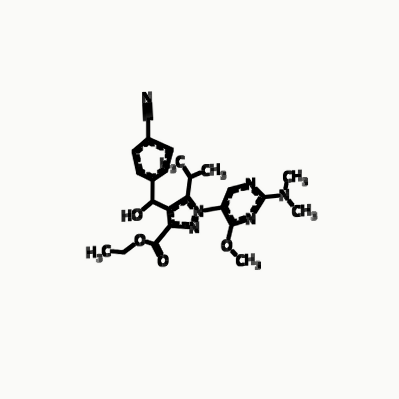 CCOC(=O)c1nn(-c2cnc(N(C)C)nc2OC)c(C(C)C)c1C(O)c1ccc(C#N)cc1